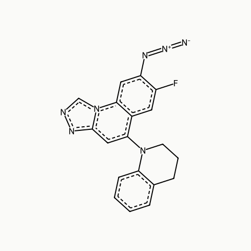 [N-]=[N+]=Nc1cc2c(cc1F)c(N1CCCc3ccccc31)cc1nncn12